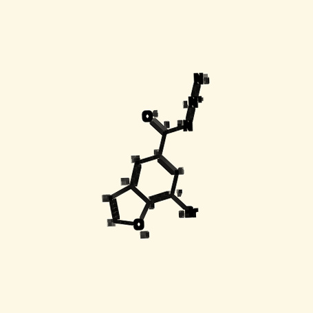 [N-]=[N+]=NC(=O)c1cc(Br)c2occc2c1